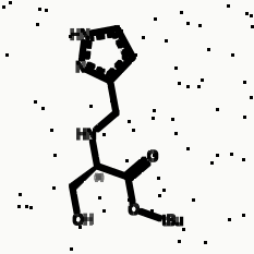 CC(C)(C)OC(=O)[C@@H](CO)NCc1cc[nH]n1